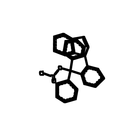 [Cl][Ti]([Cl])[O]C(c1ccccc1)(c1ccccc1)c1ccccc1C1C=Cc2ccccc21